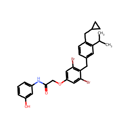 CC(C)c1cc(Cc2c(Br)cc(OCC(=O)Nc3cccc(O)c3)cc2Br)ccc1CC1CC1